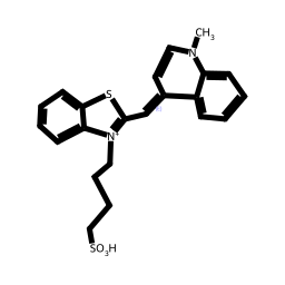 CN1C=C/C(=C\c2sc3ccccc3[n+]2CCCCS(=O)(=O)O)c2ccccc21